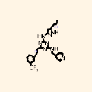 C/C=C/c1cc(Nc2nc(/C=C/c3cccc(C(F)(F)F)c3)nc(NCc3ccncc3)n2)n[nH]1